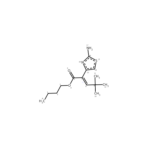 CCCCOC(=O)/C(=C/C(C)(C)C)c1csc(N)n1